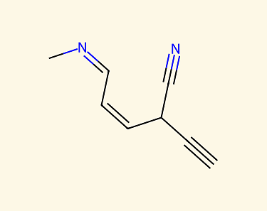 C#CC(C#N)/C=C\C=N/C